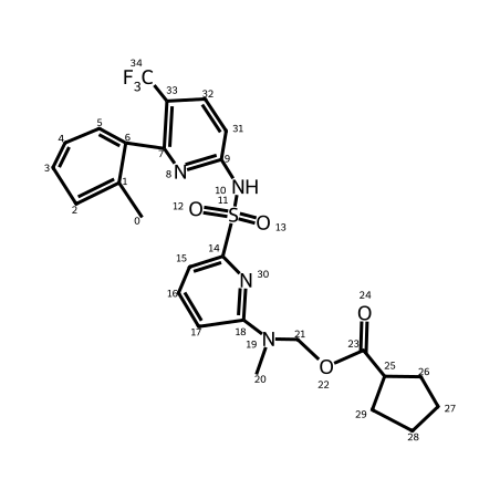 Cc1ccccc1-c1nc(NS(=O)(=O)c2cccc(N(C)COC(=O)C3CCCC3)n2)ccc1C(F)(F)F